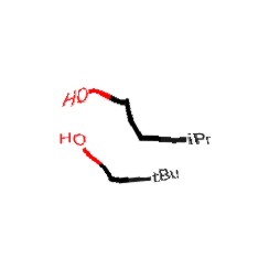 CC(C)(C)CO.CC(C)CCO